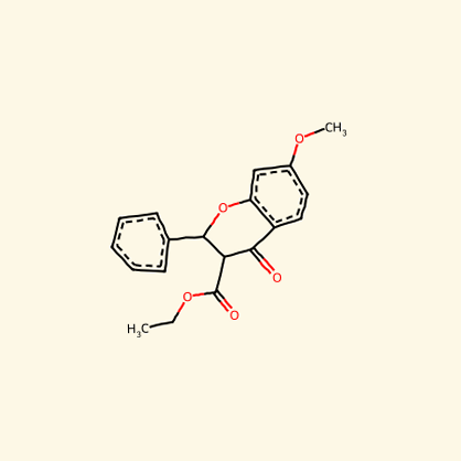 CCOC(=O)C1C(=O)c2ccc(OC)cc2OC1c1ccccc1